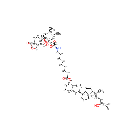 C=C1/C(=C\C=C2/CCC[C@@]3(C)C2CCC3[C@@H](C)/C=C/C(O)C2CC2)CCCC1OC(=O)CCCCCCCCNC(=O)O[C@@H]1[C@H](C(C)(C)C)[C@H](C)C[C@@]2(O)[C@@]3(C)CCC4=C(COC4=O)C3CO[C@]12C